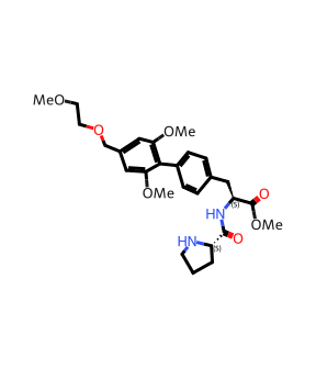 COCCOCc1cc(OC)c(-c2ccc(C[C@H](NC(=O)[C@@H]3CCCN3)C(=O)OC)cc2)c(OC)c1